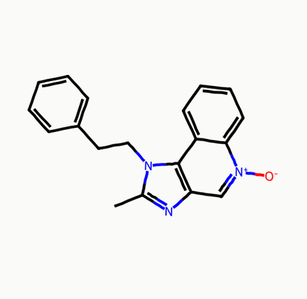 Cc1nc2c[n+]([O-])c3ccccc3c2n1CCc1ccccc1